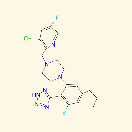 CC(C)Cc1cc(F)c(-c2nn[nH]n2)c(N2CCN(Cc3ncc(F)cc3Cl)CC2)c1